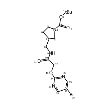 CC(C)(C)OC(=O)N1CCC(CNC(=O)COc2ncc(Br)cn2)C1